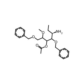 CC[C@@H](N)C(OCc1ccccc1)C(OC(C)=O)C(COCc1ccccc1)OC